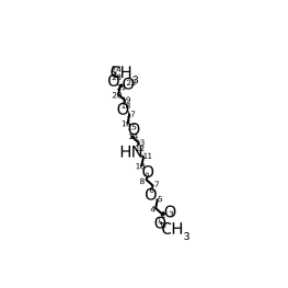 COC(=O)CCOCCOCCNCCOCCOCCC(=O)OC